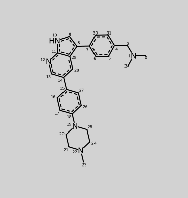 CN(C)Cc1ccc(-c2c[nH]c3ncc(-c4ccc(N5CCN(C)CC5)cc4)cc23)cc1